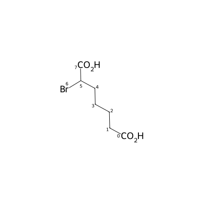 O=C(O)CCCCC(Br)C(=O)O